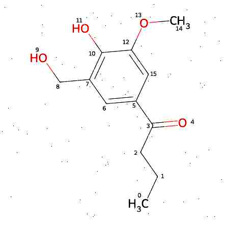 CCCC(=O)c1cc(CO)c(O)c(OC)c1